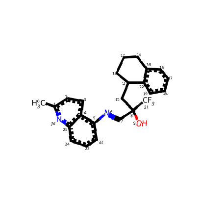 Cc1ccc2c(N=CC(O)(CC3CCCc4ccccc43)C(F)(F)F)cccc2n1